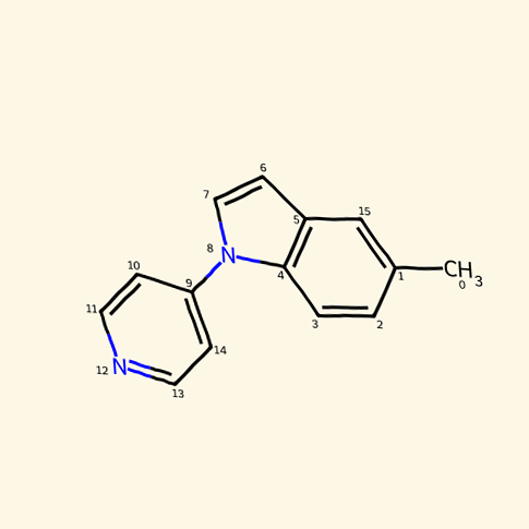 Cc1ccc2c(ccn2-c2ccncc2)c1